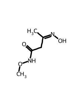 CONC(=O)C/C(C)=N\O